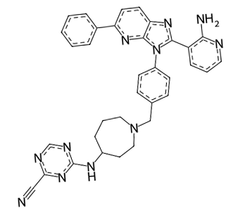 N#Cc1ncnc(NC2CCCN(Cc3ccc(-n4c(-c5cccnc5N)nc5ccc(-c6ccccc6)nc54)cc3)CC2)n1